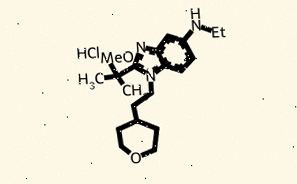 CCNc1ccc2c(c1)nc(C(C)(C)OC)n2CCC1CCOCC1.Cl